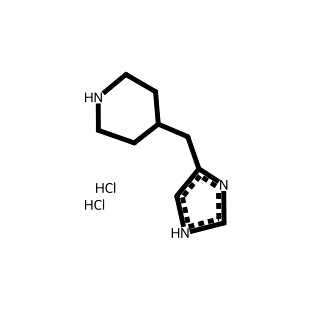 Cl.Cl.c1nc(CC2CCNCC2)c[nH]1